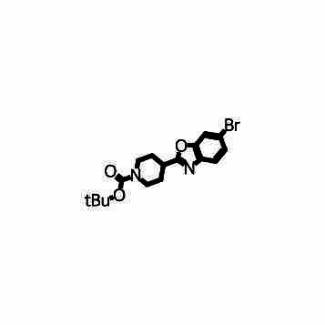 CC(C)(C)OC(=O)N1CCC(c2nc3ccc(Br)cc3o2)CC1